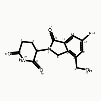 O=C1CCC(N2Cc3c(CO)cc(F)cc3C2=O)C(=O)N1